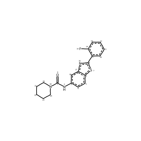 O=C(Nc1ccc2sc(-c3ccccc3F)nc2c1)N1CCCCC1